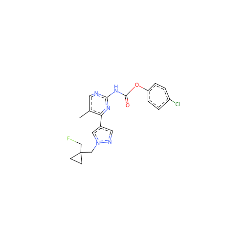 Cc1cnc(NC(=O)Oc2ccc(Cl)cc2)nc1-c1cnn(CC2(CF)CC2)c1